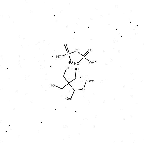 CCCCCCCCCCOC(CCCCCCCCCC)C(CO)(CO)CO.O=P(O)(O)OP(=O)(O)O